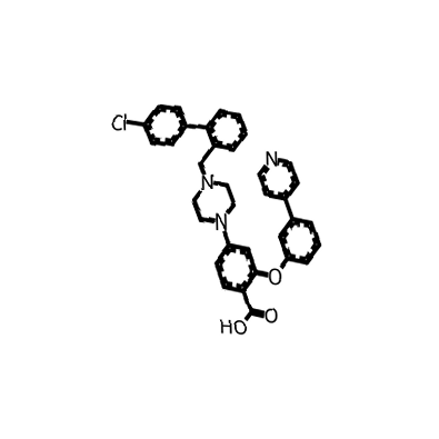 O=C(O)c1ccc(N2CCN(Cc3ccccc3-c3ccc(Cl)cc3)CC2)cc1Oc1cccc(-c2ccncc2)c1